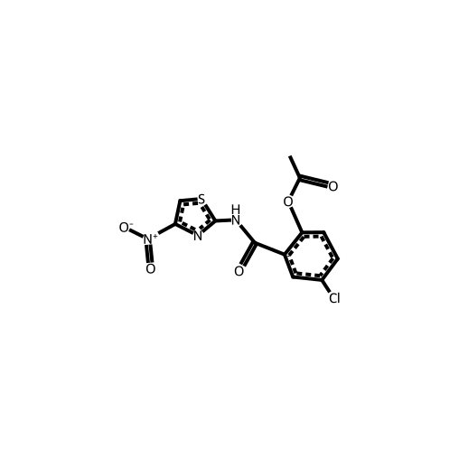 CC(=O)Oc1ccc(Cl)cc1C(=O)Nc1nc([N+](=O)[O-])cs1